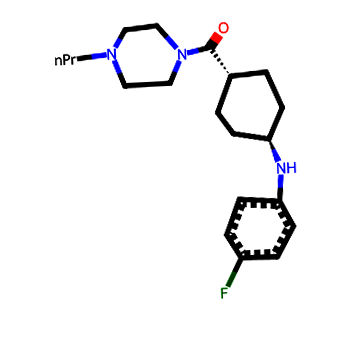 CCCN1CCN(C(=O)[C@H]2CC[C@H](Nc3ccc(F)cc3)CC2)CC1